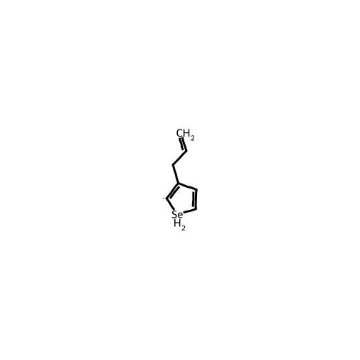 C=CCC1=[C][SeH2]C=C1